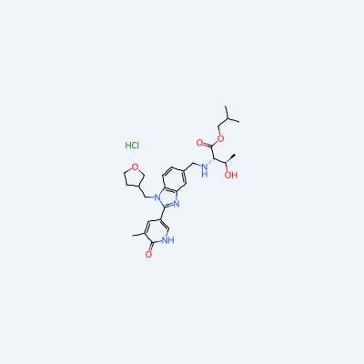 Cc1cc(-c2nc3cc(CN[C@H](C(=O)OCC(C)C)[C@@H](C)O)ccc3n2CC2CCOC2)c[nH]c1=O.Cl